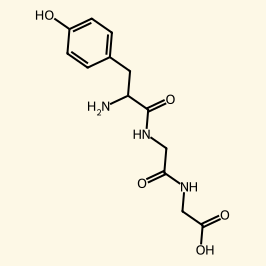 NC(Cc1ccc(O)cc1)C(=O)NCC(=O)NCC(=O)O